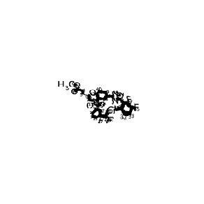 COC(=O)CC[C@H]1CN(S(=O)(=O)c2cccc(C(F)(F)F)c2)c2cc(-c3noc(-c4c(Cl)ccc(F)c4F)n3)ccc2O1